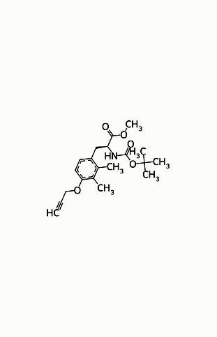 C#CCOc1ccc(C[C@H](NC(=O)OC(C)(C)C)C(=O)OC)c(C)c1C